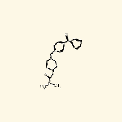 CN(C)C(=O)CN1CCN(Cc2ccc(C(=O)c3ccccc3)cc2)CC1